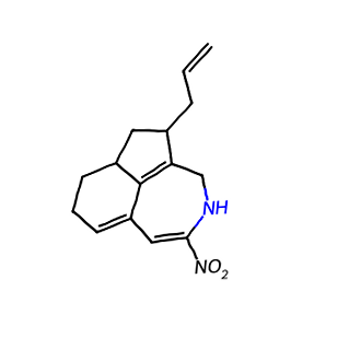 C=CCC1CC2CCC=C3C=C([N+](=O)[O-])NCC1=C32